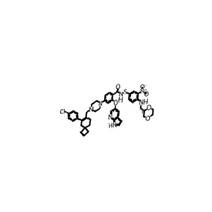 O=C(NSc1ccc(NC[C@@H]2COCCO2)c([N+](=O)[O-])c1)c1ccc(N2CCN(CC3=C(c4ccc(Cl)cc4)CC4(CCC4)CC3)CC2)cc1Oc1cnc2[nH]ccc2c1